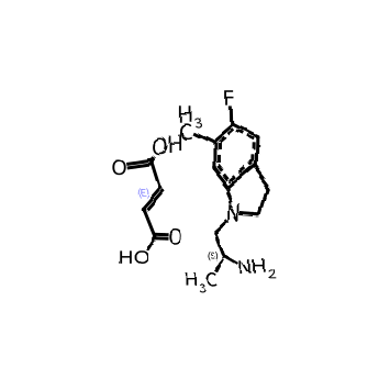 Cc1cc2c(cc1F)CCN2C[C@H](C)N.O=C(O)/C=C/C(=O)O